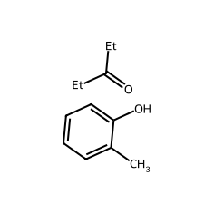 CCC(=O)CC.Cc1ccccc1O